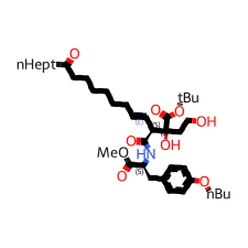 CCCCCCCC(=O)CCCCCC/C=C/[C@H](C(=O)N[C@@H](Cc1ccc(OCCCC)cc1)C(=O)OC)[C@@](O)(CCO)C(=O)OC(C)(C)C